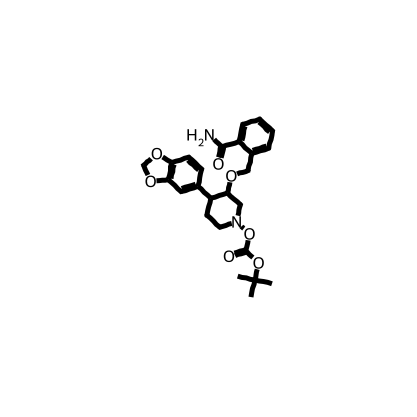 CC(C)(C)OC(=O)ON1CCC(c2ccc3c(c2)OCO3)C(OCc2ccccc2C(N)=O)C1